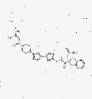 CN(C)CC(=O)N1CCC(n2cc(-c3csc(CNC(=O)C4(CC(=O)O)Cc5ccccc5C4)n3)cn2)CC1